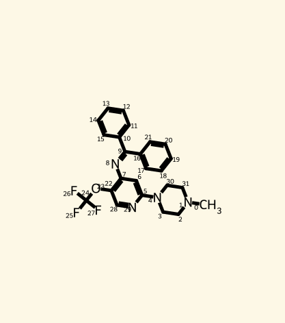 CN1CCN(c2cc(N=C(c3ccccc3)c3ccccc3)c(OC(F)(F)F)cn2)CC1